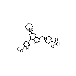 COc1ccc(-c2nc(N3C4CCCC3CC4)nc3c(CN4CCN(S(C)(=O)=O)CC4)csc23)cn1